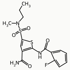 CCCN(C)S(=O)(=O)c1cc(C(N)=O)c(NC(=O)c2ccccc2F)s1